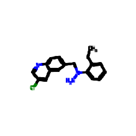 CCc1ccccc1N(N)Cc1ccc2ncc(Cl)cc2c1